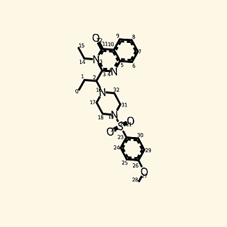 CCC(c1nc2ccccc2c(=O)n1CC)N1CCN(S(=O)(=O)c2ccc(OC)cc2)CC1